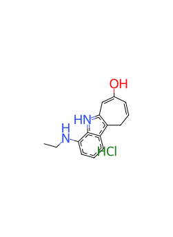 CCNc1cccc2c3c([nH]c12)C=C(O)C=CC3.Cl